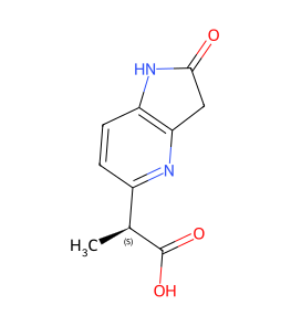 C[C@H](C(=O)O)c1ccc2c(n1)CC(=O)N2